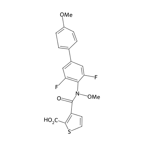 COc1ccc(-c2cc(F)c(N(OC)C(=O)c3ccsc3C(=O)O)c(F)c2)cc1